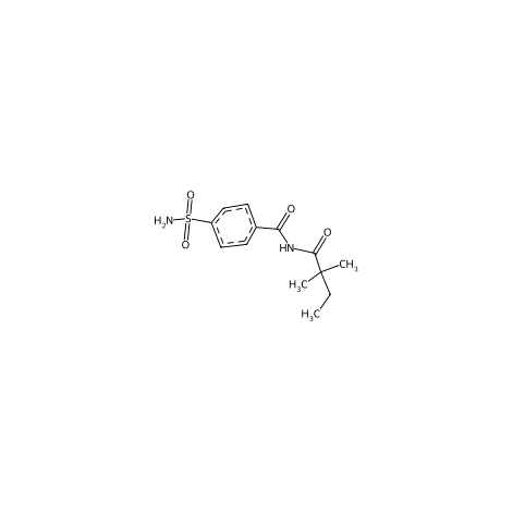 CCC(C)(C)C(=O)NC(=O)c1ccc(S(N)(=O)=O)cc1